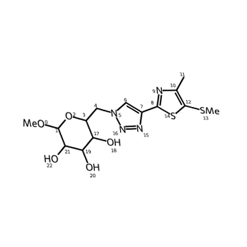 COC1OC(Cn2cc(-c3nc(C)c(SC)s3)nn2)C(O)C(O)C1O